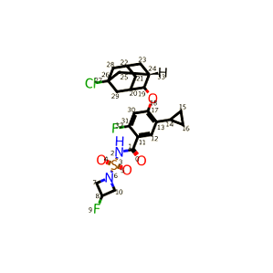 O=C(NS(=O)(=O)N1CC(F)C1)c1cc(C2CC2)c(OC2C3CC4C[C@H]2CC(Cl)(C4)C3)cc1F